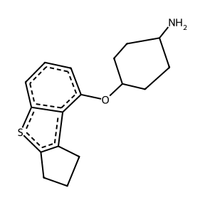 NC1CCC(Oc2cccc3sc4c(c23)CCC4)CC1